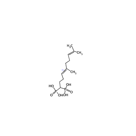 CC(C)=CCC/C(C)=C/CCC(P(=O)(O)O)P(=O)(O)O